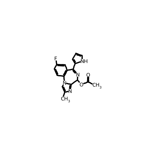 CC(=O)OC1N=C(c2ccc[nH]2)c2cc(F)ccc2-n2cc(C)nc21